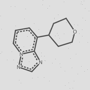 c1cc(C2CCOCC2)c2ncnn2c1